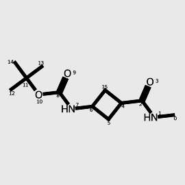 CNC(=O)C1CC(NC(=O)OC(C)(C)C)C1